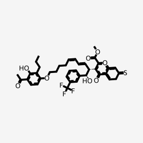 CCCc1c(OCCCC/C=C\C=C\[C@H](c2c(C(=O)OC)oc3c(c2=O)=CCC(=S)C=3)[C@H](O)c2cccc(C(F)(F)F)c2)ccc(C(C)=O)c1O